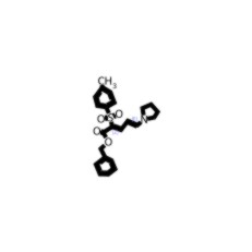 Cc1ccc(S(=O)(=O)/C(=C\C=C\N2CCCC2)C(=O)OCc2ccccc2)cc1